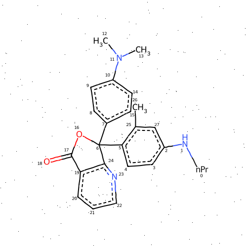 CCCNc1ccc(C2(c3ccc(N(C)C)cc3)OC(=O)c3cccnc32)c(C)c1